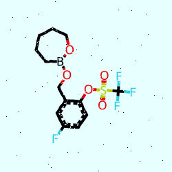 O=S(=O)(Oc1ccc(F)cc1COB1CCCCCO1)C(F)(F)F